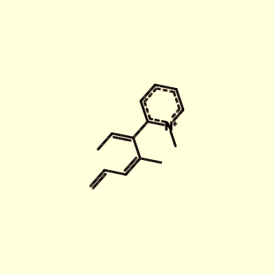 C=C/C=C(C)\C(=C/C)c1cccc[n+]1C